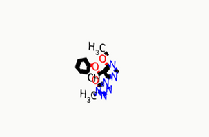 CCOc1ncnc(-n2nnn(C)c2=O)c1COc1ccccc1C